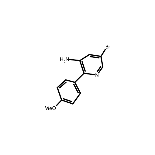 COc1ccc(-c2ncc(Br)cc2N)cc1